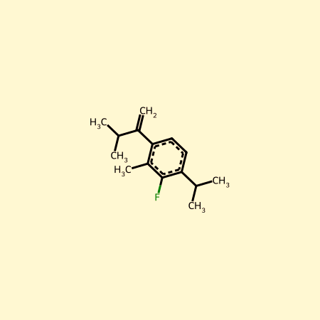 C=C(c1ccc(C(C)C)c(F)c1C)C(C)C